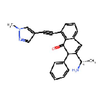 C[C@H](N)C1=Cc2cccc(C#Cc3cnn(C)c3)c2C(=O)C1c1ccccc1